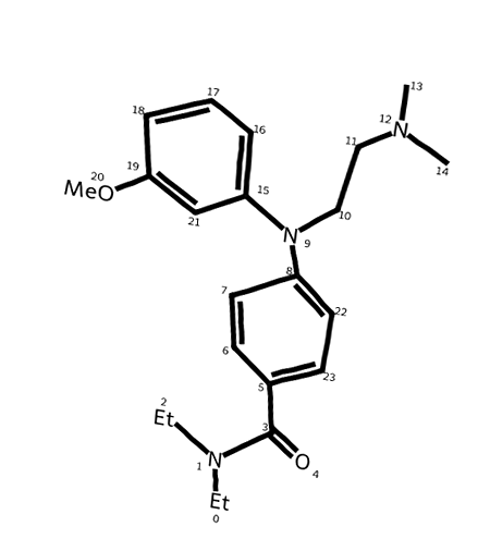 CCN(CC)C(=O)c1ccc(N(CCN(C)C)c2cccc(OC)c2)cc1